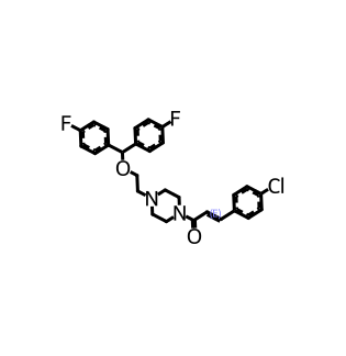 O=C(/C=C/c1ccc(Cl)cc1)N1CCN(CCOC(c2ccc(F)cc2)c2ccc(F)cc2)CC1